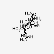 CC(C)C[C@H](NC(=O)[C@@H](N)CC(N)=O)C(=O)N[C@@H](C)C(=O)N[C@@H](CCCNC(=N)N)C(=O)O